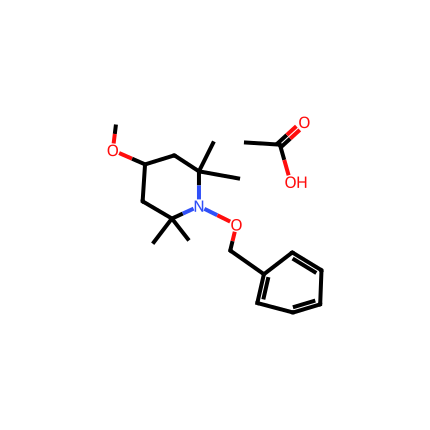 CC(=O)O.COC1CC(C)(C)N(OCc2ccccc2)C(C)(C)C1